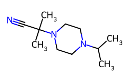 CC(C)N1CCN(C(C)(C)C#N)CC1